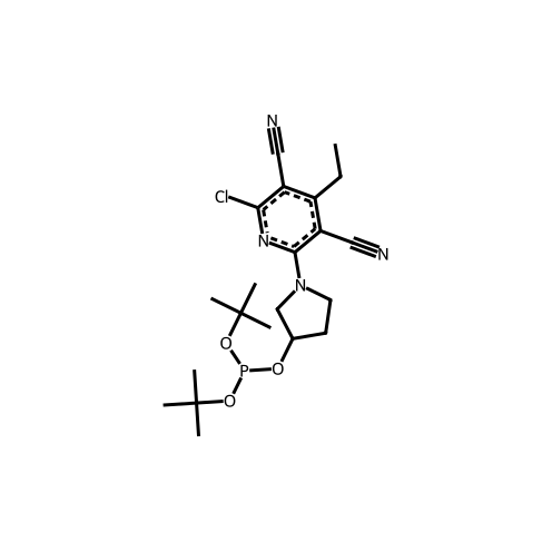 CCc1c(C#N)c(Cl)nc(N2CCC(OP(OC(C)(C)C)OC(C)(C)C)C2)c1C#N